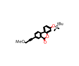 COCC#Cc1ccc2c(c1)c(=O)oc1cc(O[Si](C)(C)C(C)(C)C)ccc12